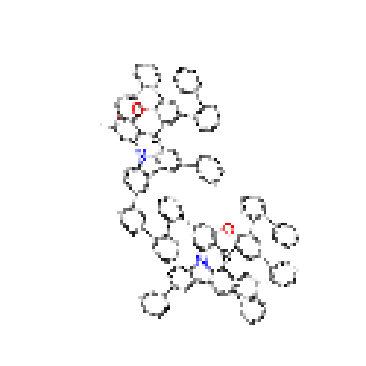 Cc1cc2c3c(c1)-n1c4ccc(-c5cccc(-c6ccccc6-c6ccccc6-c6cc7c8c(c6)-n6c9ccc(-c%10ccccc%10)cc9c9cc(-c%10ccccc%10)cc(c96)B8c6cc(-c8ccccc8-c8ccccc8)cc(-c8ccccc8-c8ccccc8)c6O7)c5)cc4c4cc(-c5ccccc5)cc(c41)B3c1cc(-c3ccccc3-c3ccccc3)cc(-c3ccccc3-c3ccccc3)c1O2